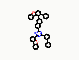 c1ccc(-c2cccc(C3=NC(c4ccc5cc(-c6c(-c7ccccc7)ccc7oc8ccccc8c67)ccc5c4)NC(c4cccc5c4oc4ccccc45)=N3)c2)cc1